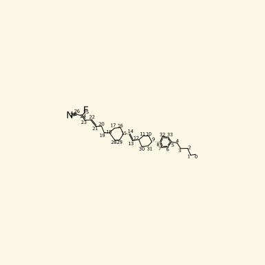 CCCCCc1ccc([C@H]2CC[C@H](C=C[C@H]3CC[C@H](CCC=CC=C(F)C#N)CC3)CC2)cc1